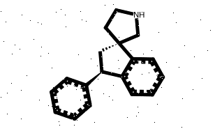 c1ccc([C@H]2C[C@@]3(CCNC3)c3ccccc32)cc1